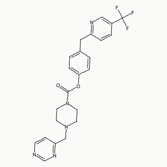 O=C(Oc1ccc(Cc2ccc(C(F)(F)F)cn2)cc1)N1CCN(Cc2ccncn2)CC1